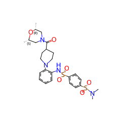 C[C@@H]1CN(C(=O)C2CCN(c3ccccc3NS(=O)(=O)c3ccc(S(=O)(=O)N(C)C)cc3)CC2)C[C@H](C)O1